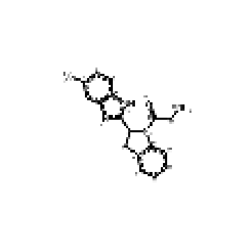 Cc1ccc2[nH]c(C3Cc4ccccc4N3C(=O)CN)nc2c1